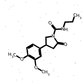 CCCNC(=O)N1CC(c2ccc(OC)c(OC)c2)CC1=O